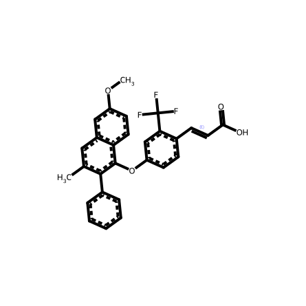 COc1ccc2c(Oc3ccc(/C=C/C(=O)O)c(C(F)(F)F)c3)c(-c3ccccc3)c(C)cc2c1